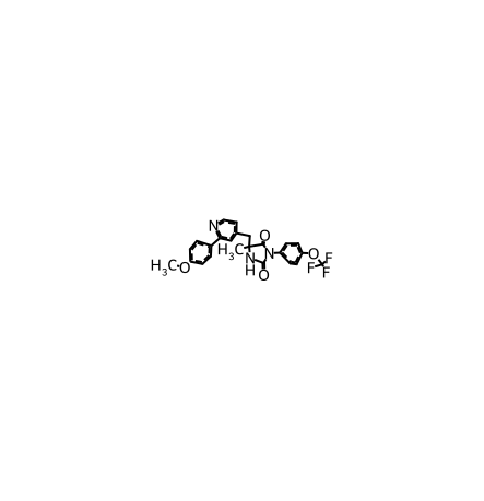 COc1ccc(-c2cc(CC3(C)NC(=O)N(c4ccc(OC(F)(F)F)cc4)C3=O)ccn2)cc1